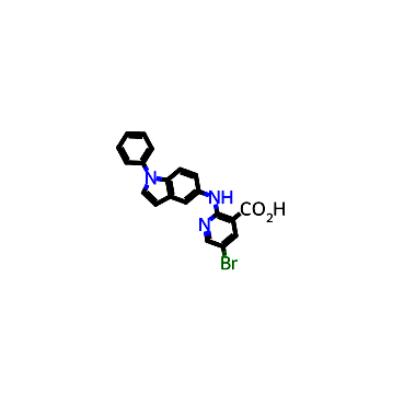 O=C(O)c1cc(Br)cnc1Nc1ccc2c(ccn2-c2ccccc2)c1